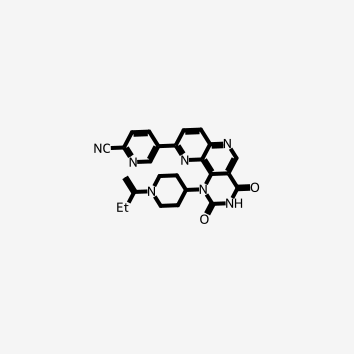 C=C(CC)N1CCC(n2c(=O)[nH]c(=O)c3cnc4ccc(-c5ccc(C#N)nc5)nc4c32)CC1